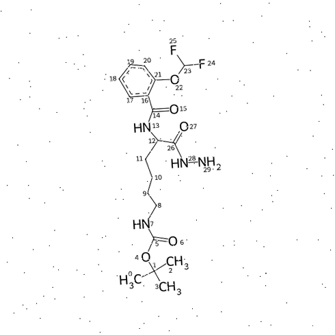 CC(C)(C)OC(=O)NCCCCC(NC(=O)c1ccccc1OC(F)F)C(=O)NN